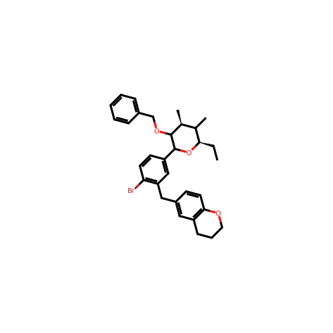 CC[C@H]1OC(c2ccc(Br)c(Cc3ccc4c(c3)CCCO4)c2)C(OCc2ccccc2)[C@@H](C)C1C